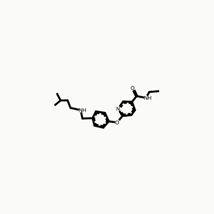 CCNC(=O)c1ccc(Oc2ccc(CNCCC(C)C)cc2)nc1